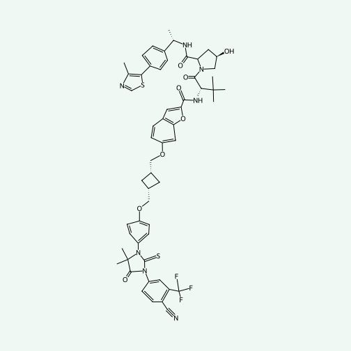 Cc1ncsc1-c1ccc([C@H](C)NC(=O)C2C[C@@H](O)CN2C(=O)[C@@H](NC(=O)c2cc3ccc(OC[C@H]4C[C@@H](COc5ccc(N6C(=S)N(c7ccc(C#N)c(C(F)(F)F)c7)C(=O)C6(C)C)cc5)C4)cc3o2)C(C)(C)C)cc1